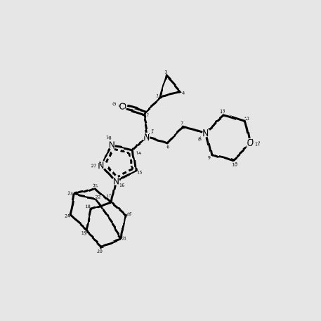 O=C(C1CC1)N(CCN1CCOCC1)c1cn(C23CC4CC(CC(C4)C2)C3)nn1